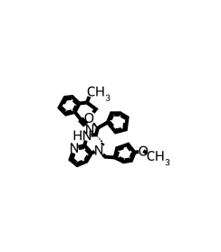 COc1ccc(CN2C[C@@H]([C@@H](OCC(C)c3ccccc3C#N)c3ccccc3)Nc3ncccc32)cc1